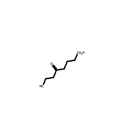 N#CCCC(=O)CCCC(=O)O